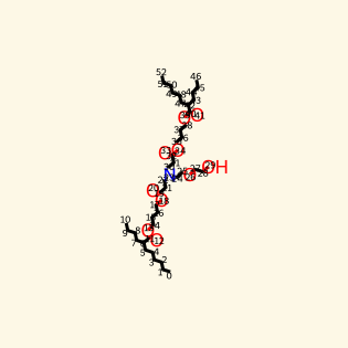 CCCCCCC(CCCC)C(=O)OCCCCOC(=O)CCN(CCOCCO)CCC(=O)OCCCCOC(=O)C(CCCC)CCCCCC